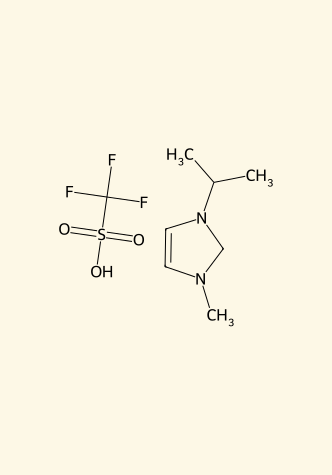 CC(C)N1C=CN(C)C1.O=S(=O)(O)C(F)(F)F